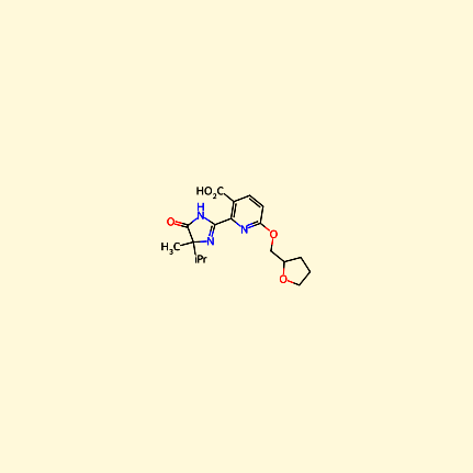 CC(C)C1(C)N=C(c2nc(OCC3CCCO3)ccc2C(=O)O)NC1=O